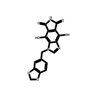 O=C1NC(=O)c2c1c(O)c1ncn(Cc3ccc4c(c3)OCO4)c1c2O